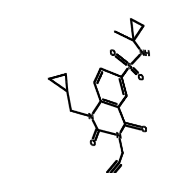 CC1(NS(=O)(=O)c2ccc3c(c2)c(=O)n(CC#N)c(=O)n3CC2CC2)CC1